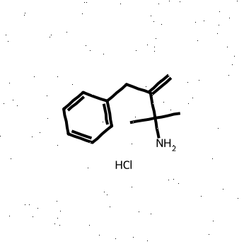 C=C(Cc1ccccc1)C(C)(C)N.Cl